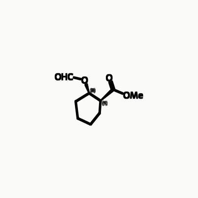 COC(=O)[C@H]1CCCC[C@H]1OC=O